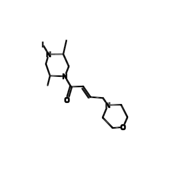 CC1CN(C(=O)/C=C/CN2CCOCC2)C(C)CN1I